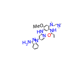 C=CC(=O)Nc1cc(Nc2cc(-n3nc(N)c4ccccc43)ccn2)c(OC)cc1N(C)CCN(C)C